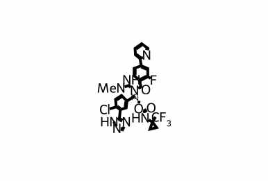 CNC(=N)N(C(=O)c1ccc(-c2ccccn2)cc1F)[C@H](COC(=O)NC1(C(F)(F)F)CC1)c1ccc(Cl)c(-c2ncn[nH]2)c1